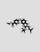 CCOC(=O)c1ccc(Oc2ccc(CN(CCC(C)C)C(=O)OC(C)(C)C)cc2)nc1